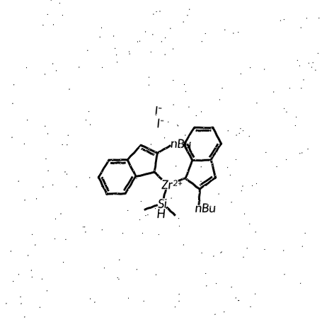 CCCCC1=Cc2ccccc2[CH]1[Zr+2]([CH]1C(CCCC)=Cc2ccccc21)[SiH](C)C.[I-].[I-]